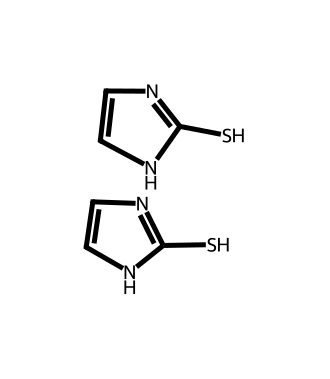 Sc1ncc[nH]1.Sc1ncc[nH]1